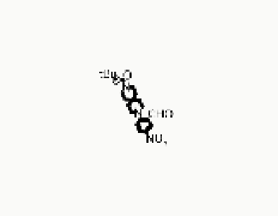 CC(C)(C)OC(=O)N1CCC2(CC1)CCN(c1ccc([N+](=O)[O-])cc1C=O)CC2